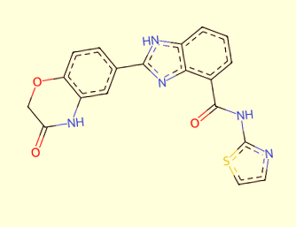 O=C1COc2ccc(-c3nc4c(C(=O)Nc5nccs5)cccc4[nH]3)cc2N1